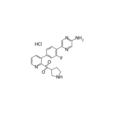 Cl.Nc1cnc(-c2ccc(-c3cccnc3S(=O)(=O)C3CCNC3)cc2F)cn1